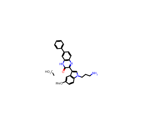 CC(=O)O.COc1ccc2c(c1)c(-c1nc3ccc(-c4ccccc4)cc3[nH]c1=O)cn2CCCN